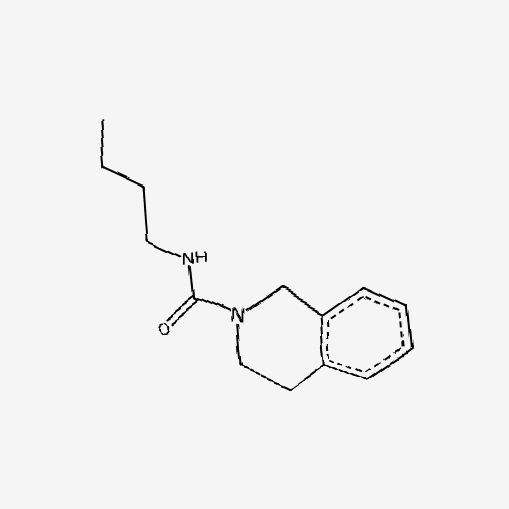 CCCCNC(=O)N1CCc2ccccc2C1